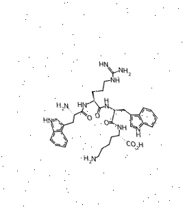 N=C(N)NCCC[C@H](NC(=O)[C@@H](N)Cc1c[nH]c2ccccc12)C(=O)N[C@@H](Cc1c[nH]c2ccccc12)C(=O)N[C@@H](CCCCN)C(=O)O